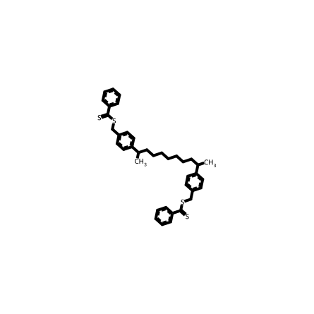 CC(CCCCCCCC(C)c1ccc(CSC(=S)c2ccccc2)cc1)c1ccc(CSC(=S)c2ccccc2)cc1